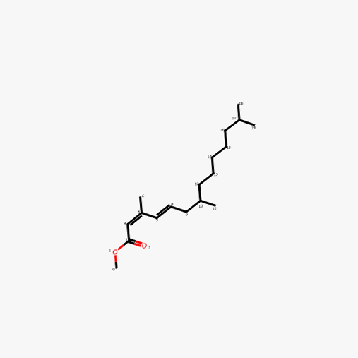 COC(=O)C=C(C)C=CCC(C)CCCCCC(C)C